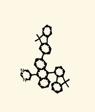 CC1(C)c2ccccc2-c2ccc(-c3ccc4c(-c5cncnc5)c5ccccc5c(-c5cccc6c5-c5ccccc5C6(C)C)c4c3)cc21